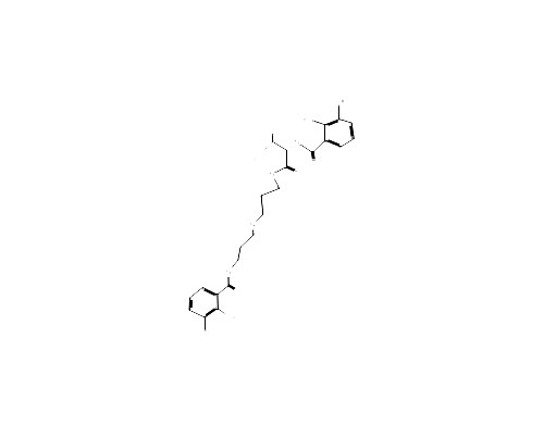 C[C@@H](O)[C@H](NC(=O)c1cccc(O)c1O)C(=O)NCCCNCCCNC(=O)c1cccc(O)c1O